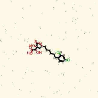 O=C(O)C(O)C1(O)CC(CCCCCCc2ccc(Cl)cc2Cl)OC1=O